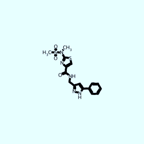 CN(c1nc(C(=O)NCc2cc(-c3ccccc3)[nH]n2)cs1)S(C)(=O)=O